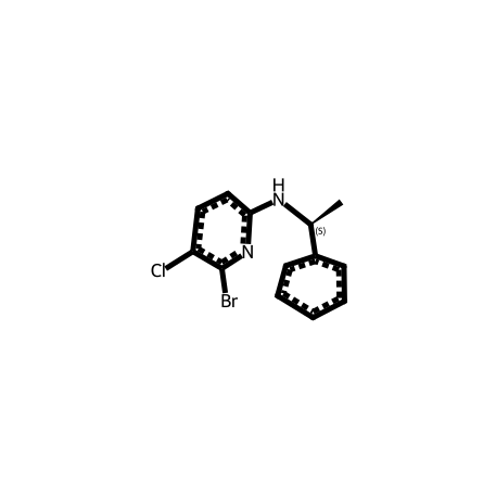 C[C@H](Nc1ccc(Cl)c(Br)n1)c1ccccc1